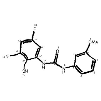 COc1cccc(NC(=O)Nc2cc(F)cc(F)c2O)c1